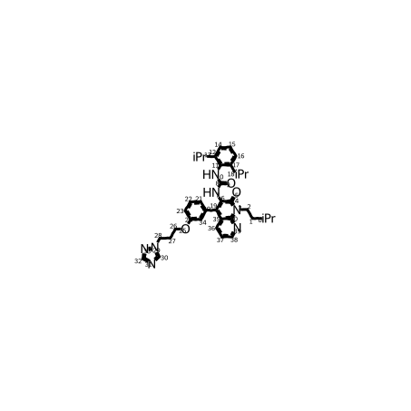 CC(C)CCn1c(=O)c(NC(=O)Nc2c(C(C)C)cccc2C(C)C)c(-c2cccc(OCCCn3cncn3)c2)c2cccnc21